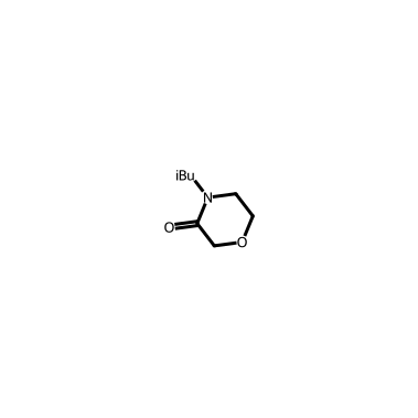 CCC(C)N1CCOCC1=O